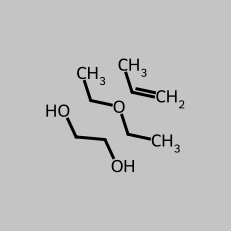 C=CC.CCOCC.OCCO